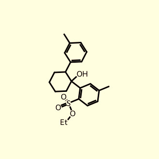 CCOS(=O)(=O)c1ccc(C)cc1C1(O)CCCCC1c1cccc(C)c1